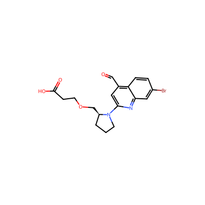 O=Cc1cc(N2CCC[C@H]2COCCC(=O)O)nc2cc(Br)ccc12